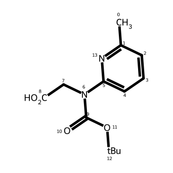 Cc1cccc(N(CC(=O)O)C(=O)OC(C)(C)C)n1